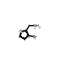 NCc1sccc1Br